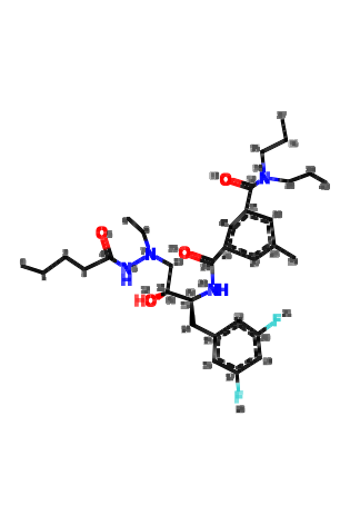 CCCCC(=O)NN(CC)C[C@H](O)[C@H](Cc1cc(F)cc(F)c1)NC(=O)c1cc(C)cc(C(=O)N(CCC)CCC)c1